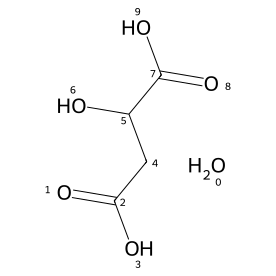 O.O=C(O)CC(O)C(=O)O